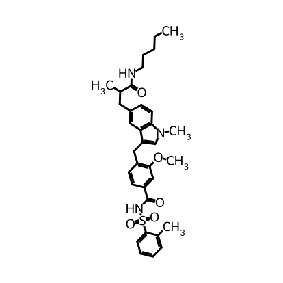 CCCCCNC(=O)C(C)Cc1ccc2c(c1)c(Cc1ccc(C(=O)NS(=O)(=O)c3ccccc3C)cc1OC)cn2C